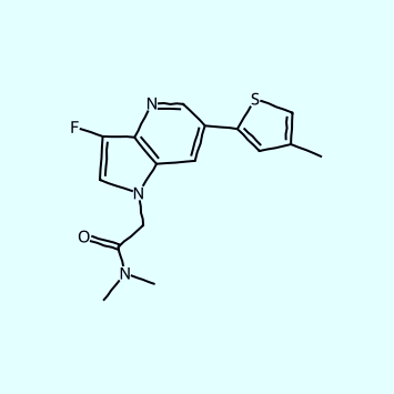 Cc1csc(-c2cnc3c(F)cn(CC(=O)N(C)C)c3c2)c1